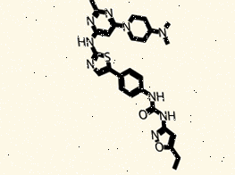 CCc1cc(NC(=O)Nc2ccc(-c3cnc(Nc4cc(N5CCC(N(C)C)CC5)nc(C)n4)s3)cc2)no1